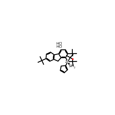 CC(C)(C)c1ccc2c(c1)Cc1c-2ccc(C(C)(C)C)[c]1[Zr](=[SiH2])([C]1=CC=CC1)([C](C)(C)C)[C](C)(C)C.Cl.Cl